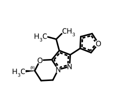 CC(C)c1c(-c2ccoc2)nn2c1O[C@H](C)CC2